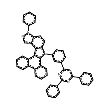 c1ccc(-c2nc(-c3ccccc3)nc(-c3cccc(-n4c5ccc6c(cnn6-c6ccccc6)c5c5c6ccccc6c6ccccc6c54)c3)n2)cc1